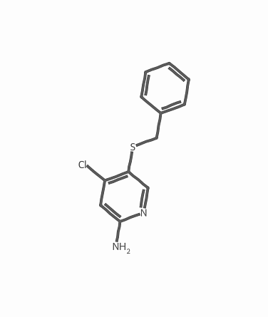 Nc1cc(Cl)c(SCc2ccccc2)cn1